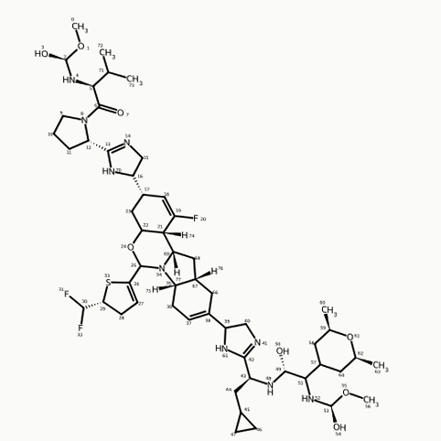 CO[C@H](O)N[C@H](C(=O)N1CCC[C@H]1C1=NCC([C@@H]2C=C(F)[C@H]3C(C2)OC(C2=CC[C@H](C(F)F)S2)N2[C@H]4CC=C(C5CN=C([C@H](CC6CC6)N[C@H](O)C(N[C@H](O)OC)C6C[C@@H](C)O[C@@H](C)C6)N5)C[C@H]4C[C@@H]32)N1)C(C)C